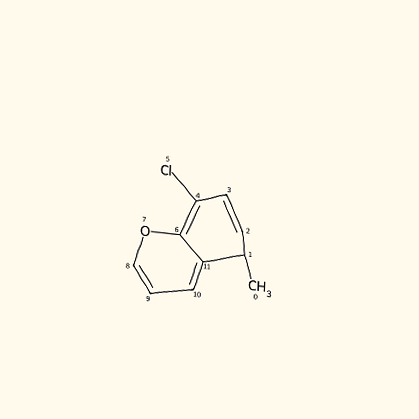 CC1C=CC(Cl)=C2OC=CC=C21